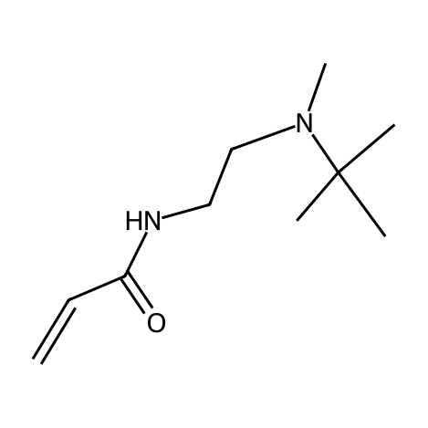 C=CC(=O)NCCN(C)C(C)(C)C